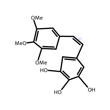 COc1cc(/C=C\c2cc(O)c(O)c(O)c2)cc(OC)c1OC